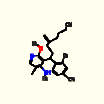 C=C(CCCC#N)CCC(c1ccc(C#N)cc1CC)c1c(OCC)ncc(C)c1NCC